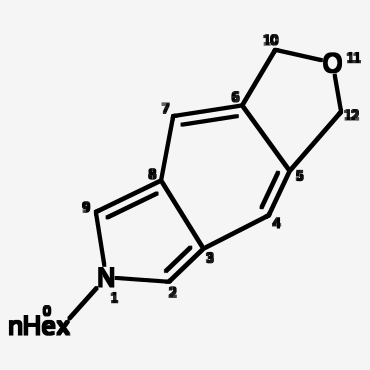 CCCCCCn1cc2cc3c(cc2c1)COC3